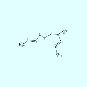 C[C]=CCCCC(C=CC)CCC